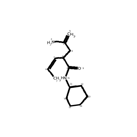 C=C(N)CC(/C=C\C)C(=O)NC1CCCCC1